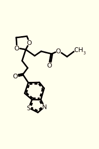 CCOC(=O)CCC1(CCC(=O)c2ccc3ncsc3c2)OCCO1